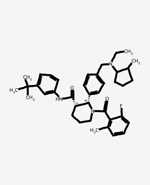 CCN(Cc1ccc([C@H]2[C@@H](C(=O)Nc3cccc(C(C)(C)C)c3)CCCN2C(=O)c2c(C)cccc2F)cc1)C1CCCC1C